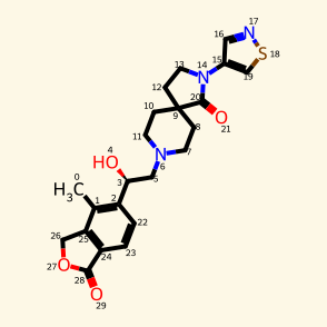 Cc1c([C@@H](O)CN2CCC3(CC2)CCN(c2cnsc2)C3=O)ccc2c1COC2=O